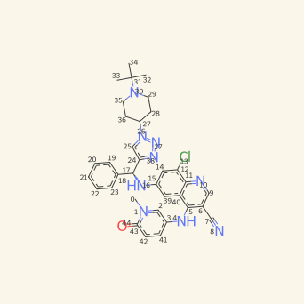 Cn1cc(Nc2c(C#N)cnc3c(Cl)cc(N[C@@H](c4ccccc4)c4cn(C5CCN(C(C)(C)C)CC5)nn4)cc23)ccc1=O